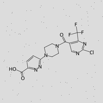 O=C(O)c1ccc(N2CCN(C(=O)c3cnc(Cl)nc3C(F)(F)F)CC2)nn1